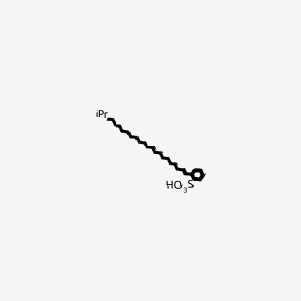 CC(C)CCCCCCCCCCCCCCCCCCCCCc1ccccc1S(=O)(=O)O